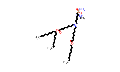 CCCCCCCCCOC(=O)CCCCCCCN(CCCCCCCC(=O)OC(CCCCCCCC)CCCCCCCC)CCCC/C(=C/S(N)(=O)=O)NC